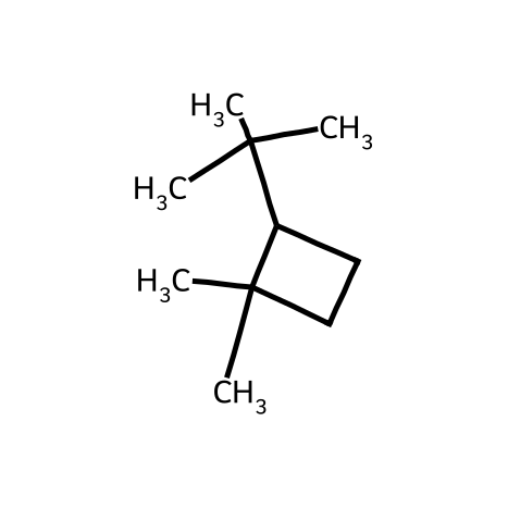 CC(C)(C)C1CCC1(C)C